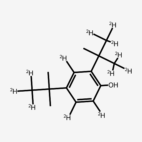 [2H]c1c([2H])c(C(C)(C)C([2H])([2H])[2H])c([2H])c(C(C)(C([2H])([2H])[2H])C([2H])([2H])[2H])c1O